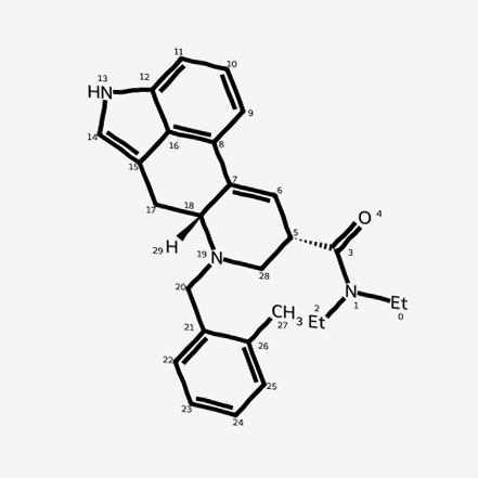 CCN(CC)C(=O)[C@H]1C=C2c3cccc4[nH]cc(c34)C[C@H]2N(Cc2ccccc2C)C1